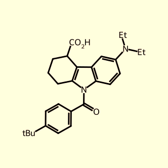 CCN(CC)c1ccc2c(c1)c1c(n2C(=O)c2ccc(C(C)(C)C)cc2)CCCC1C(=O)O